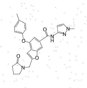 Cc1ccc(Oc2cc(C(=O)Nc3ccn(C)n3)cc3oc(CN4CCCC4=O)cc23)cc1